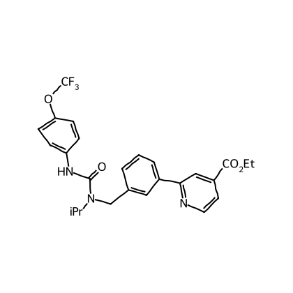 CCOC(=O)c1ccnc(-c2cccc(CN(C(=O)Nc3ccc(OC(F)(F)F)cc3)C(C)C)c2)c1